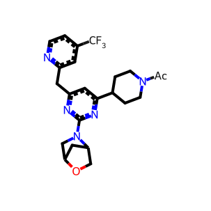 CC(=O)N1CCC(c2cc(Cc3cc(C(F)(F)F)ccn3)nc(N3CC4CC3CO4)n2)CC1